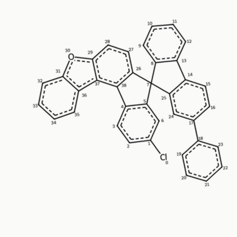 Clc1ccc2c(c1)C1(c3ccccc3-c3ccc(-c4ccccc4)cc31)c1ccc3oc4ccccc4c3c1-2